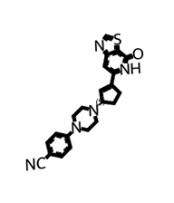 N#Cc1ccc(N2CCN([C@@H]3C=C(c4cc5ncsc5c(=O)[nH]4)CC3)CC2)cc1